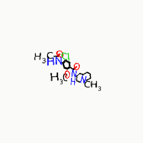 COc1cc(NC(C)=O)c(Cl)cc1C(=O)NC1CCN2C(C)CCCC2C1